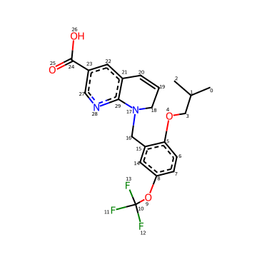 CC(C)COc1ccc(OC(F)(F)F)cc1CN1CC=Cc2cc(C(=O)O)cnc21